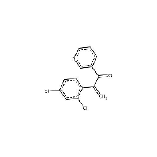 C=C(C(=O)c1cccnc1)c1ccc(Cl)cc1Cl